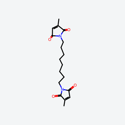 CC1=CC(=O)N(CCCCCCCCN2C(=O)C=C(C)C2=O)C1=O